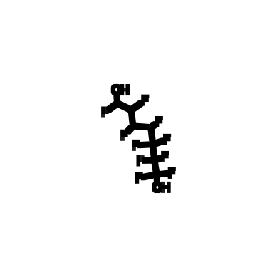 OC(F)C(F)C(F)C(F)C(F)(F)C(F)(F)C(O)(F)F